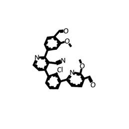 COc1cc(-c2nccc(-c3cccc(-c4ccc(C=O)c(OC)n4)c3Cl)c2C#N)ccc1C=O